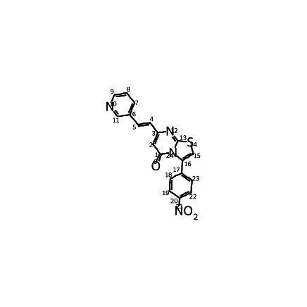 O=c1cc(/C=C/c2cccnc2)nc2scc(-c3ccc([N+](=O)[O-])cc3)n12